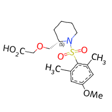 COc1cc(C)c(S(=O)(=O)N2CCCC[C@H]2COCC(=O)O)c(C)c1